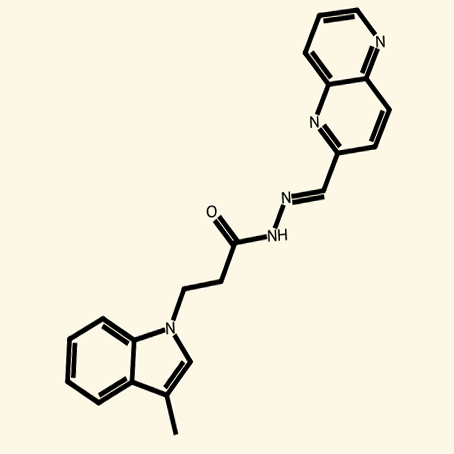 Cc1cn(CCC(=O)NN=Cc2ccc3ncccc3n2)c2ccccc12